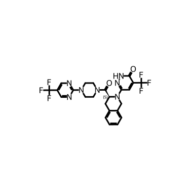 O=C([C@@H]1Cc2ccccc2CN1c1cc(C(F)(F)F)c(=O)[nH]n1)N1CCN(c2ncc(C(F)(F)F)cn2)CC1